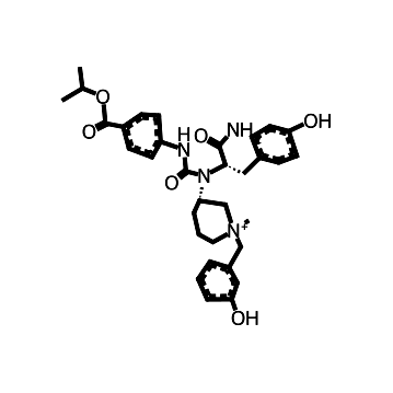 CC(C)OC(=O)c1ccc(NC(=O)N([C@H]2CCC[N+](C)(Cc3cccc(O)c3)C2)[C@@H](Cc2ccc(O)cc2)C(N)=O)cc1